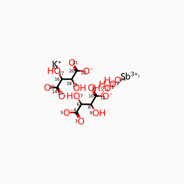 O.O.O.O=C([O-])C(O)C(O)C(=O)[O-].O=C([O-])C(O)C(O)C(=O)[O-].[K+].[Sb+3]